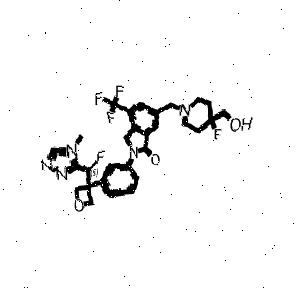 Cn1cnnc1[C@@H](F)C1(c2cccc(N3Cc4c(cc(CN5CCC(F)(CO)CC5)cc4C(F)(F)F)C3=O)c2)COC1